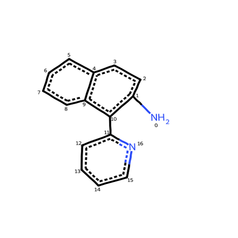 Nc1ccc2ccccc2c1-c1ccccn1